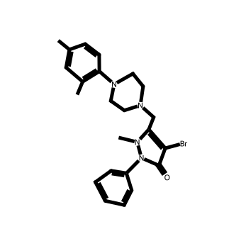 Cc1ccc(N2CCN(Cc3c(Br)c(=O)n(-c4ccccc4)n3C)CC2)c(C)c1